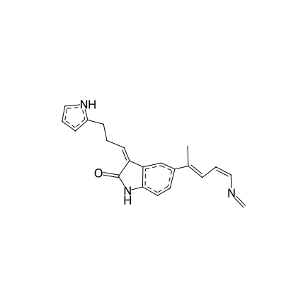 C=N/C=C\C=C(/C)c1ccc2c(c1)/C(=C/CCc1ccc[nH]1)C(=O)N2